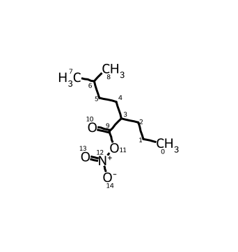 CCCC(CCC(C)C)C(=O)O[N+](=O)[O-]